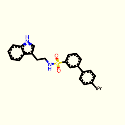 CC(C)c1ccc(-c2cccc(S(=O)(=O)NCCc3c[nH]c4ccccc34)c2)cc1